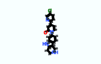 O=c1cc(-c2ccc(Cl)cn2)ccn1-c1ccc2c3c([nH]c2c1)CCNC3